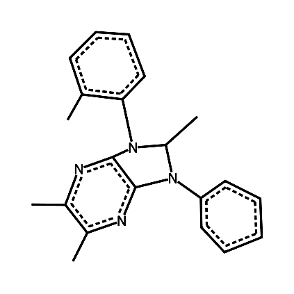 Cc1ccccc1N1c2nc(C)c(C)nc2N(c2ccccc2)C1C